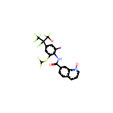 O=C(Nc1c(I)cc(C(F)(C(F)(F)F)C(F)(F)Br)cc1SC(F)F)c1ccc2ccc[n+]([O-])c2c1